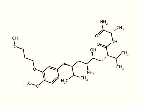 COCCCOc1cc(C[C@@H](C[C@H](N)[C@@H](O)C[C@H](C(=O)N[C@@H](C)C(N)=O)C(C)C)C(C)C)ccc1OC